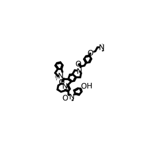 C[C@@H]1Cc2ccccc2CN1C(=O)c1cc2c(cc1-c1cc(C(=O)N(C)c3ccc(O)cc3)c3n1CCCC3)CCN(C(=O)Cc1ccc(OCCN(C)C)cc1)C2